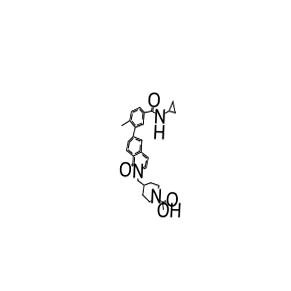 Cc1ccc(C(=O)NC2CC2)cc1-c1ccc2c(=O)n(CC3CCN(C(=O)O)CC3)ccc2c1